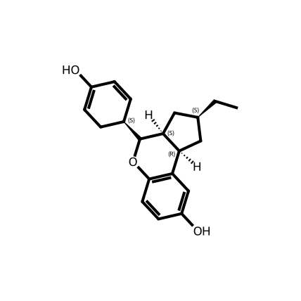 CC[C@@H]1C[C@@H]2C([C@@H]3C=CC(O)=CC3)Oc3ccc(O)cc3[C@@H]2C1